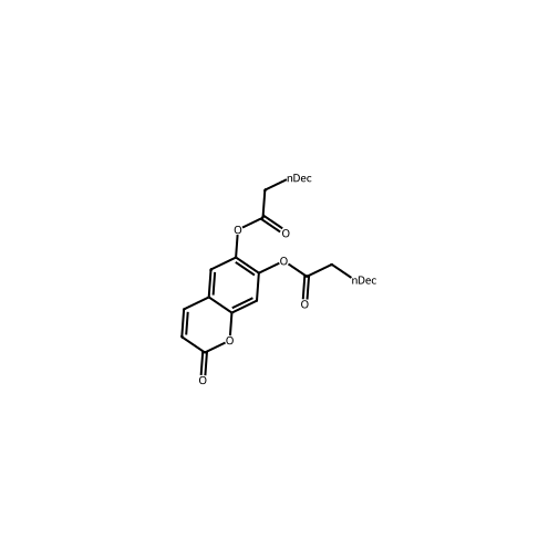 CCCCCCCCCCCC(=O)Oc1cc2ccc(=O)oc2cc1OC(=O)CCCCCCCCCCC